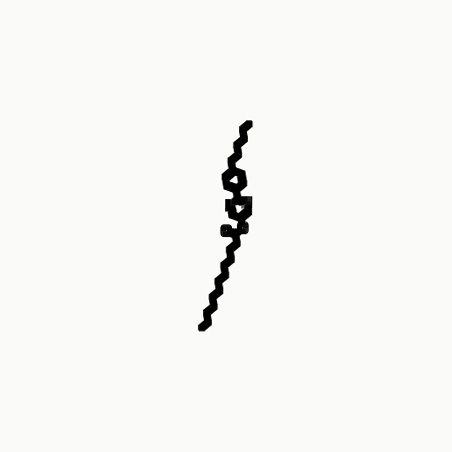 CCCCCCCCCCCCC(=O)Oc1cnc(-c2ccc(CCCCCC)cc2)nc1